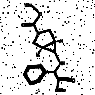 COC(=O)C(NC1[C@H]2CN(C(=O)OC(C)(C)C)C[C@@H]12)c1ccccc1